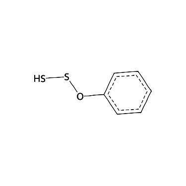 SSOc1ccccc1